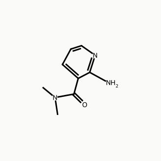 CN(C)C(=O)c1cccnc1N